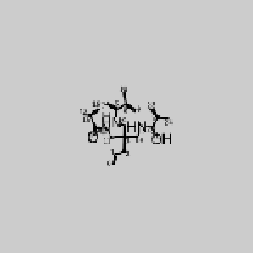 C=CCC(CNC(=C)C(=C)C)(CNC(=O)C(=C)C)CNC(O)C(=C)C